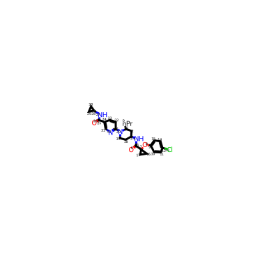 CCCC1CC(NC(=O)C2(Oc3ccc(Cl)cc3)CC2)CCN1c1ccc(C(=O)NC2CC2)cn1